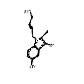 N#Cc1ccc2c(c1)c(Br)c(I)n2CC=CCO